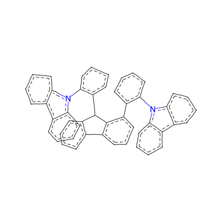 c1ccc2c(c1)-c1cccc(-c3ccccc3-n3c4ccccc4c4ccccc43)c1C2c1ccccc1-n1c2ccccc2c2ccccc21